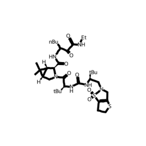 CCCCC(NC(=O)[C@@H]1[C@@H]2[C@H](CN1C(=O)[C@@H](NC(=O)N[C@H](CN1CC3=C(CCS3)S1(=O)=O)C(C)(C)C)C(C)(C)C)C2(C)C)C(=O)C(=O)NCC